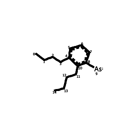 CCCCc1cccc([As])c1CCCC